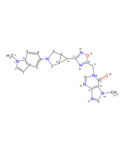 Cn1ccc2cc(N3CC4C(C3)C4c3noc(Cn4cnc5ncn(C)c5c4=O)n3)ccc21